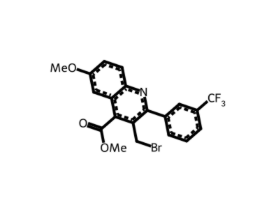 COC(=O)c1c(CBr)c(-c2cccc(C(F)(F)F)c2)nc2ccc(OC)cc12